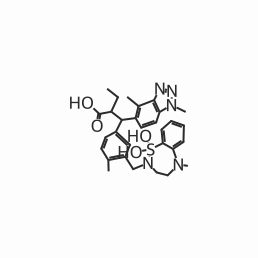 CCC(C(=O)O)C(c1ccc(C)c(CN2CCN(C)c3ccccc3S2(O)O)c1)c1ccc2c(nnn2C)c1C